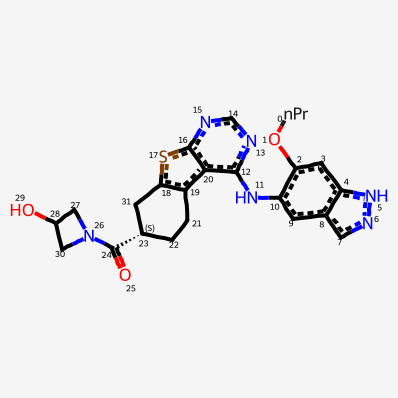 CCCOc1cc2[nH]ncc2cc1Nc1ncnc2sc3c(c12)CC[C@H](C(=O)N1CC(O)C1)C3